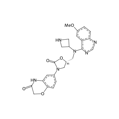 COc1ccc2ncnc(N(C[C@@H]3CN(c4ccc5c(c4)NC(=O)CO5)C(=O)O3)C3CNC3)c2c1